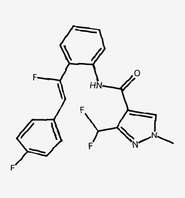 Cn1cc(C(=O)Nc2ccccc2/C(F)=C/c2ccc(F)cc2)c(C(F)F)n1